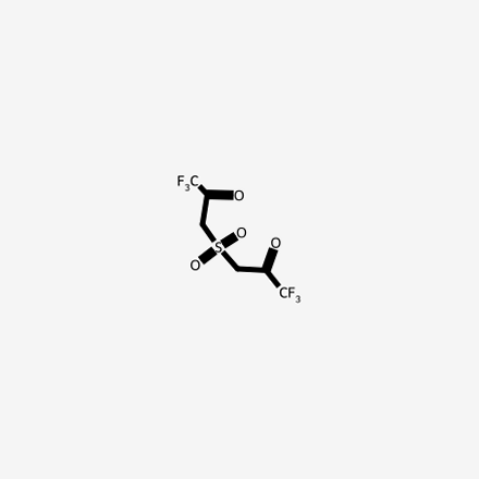 O=C(CS(=O)(=O)CC(=O)C(F)(F)F)C(F)(F)F